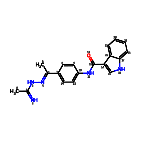 CC(=N)N/N=C(\C)c1ccc(NC(=O)c2c[nH]c3ccccc23)cc1